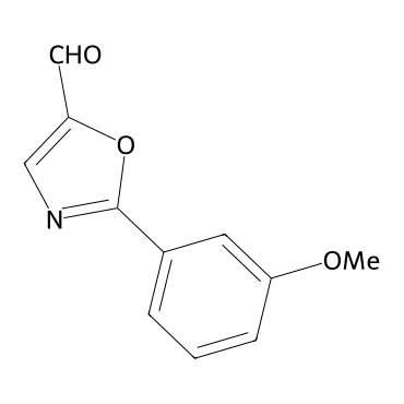 COc1cccc(-c2ncc(C=O)o2)c1